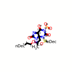 CCCCCCCCCCCCOC(C)CC12NC(=O)N=C1C(=O)N(P(=O)=O)C(=O)N2[S+]([O-])CCCCCCCCCC